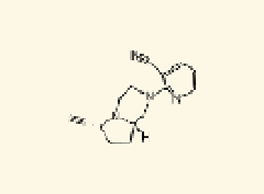 C#C[C@H]1CC[C@H]2CN(c3ncccc3C#N)CCN21